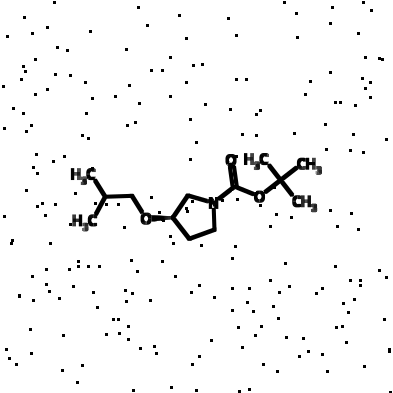 CC(C)CO[C@@H]1CCN(C(=O)OC(C)(C)C)C1